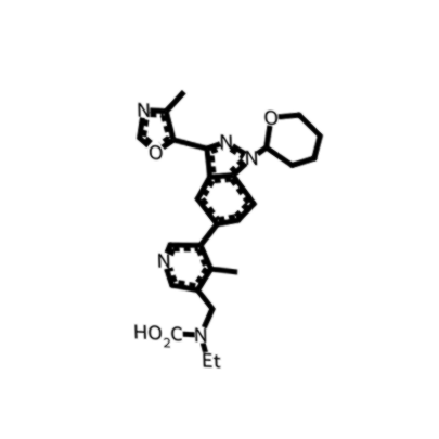 CCN(Cc1cncc(-c2ccc3c(c2)c(-c2ocnc2C)nn3C2CCCCO2)c1C)C(=O)O